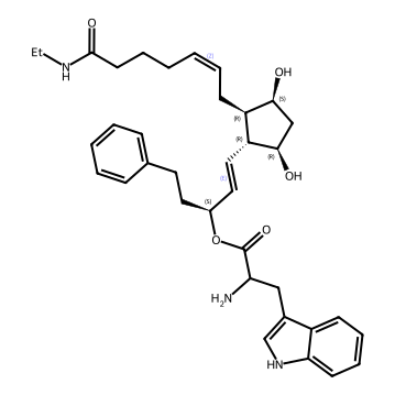 CCNC(=O)CCC/C=C\C[C@@H]1[C@@H](/C=C/[C@H](CCc2ccccc2)OC(=O)C(N)Cc2c[nH]c3ccccc23)[C@H](O)C[C@@H]1O